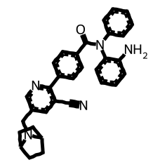 N#Cc1cc(CN2C3CCC2CC3)cnc1-c1ccc(C(=O)N(c2ccccc2)c2ccccc2N)cc1